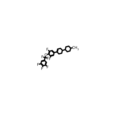 CC1CCC(C2CC=C(c3cc(F)c(OC(F)(F)c4cc(F)c(F)c(F)c4)c(F)c3)CC2)CC1